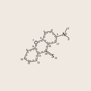 CN(C)c1ccc2oc3ccccc3c(=S)c2c1